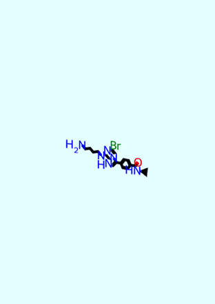 NCCCCNc1nc(Br)cn2c(-c3ccc(C(=O)NC4CC4)cc3)cnc12